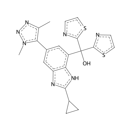 Cc1nnn(C)c1-c1cc(C(O)(c2nccs2)c2nccs2)c2[nH]c(C3CC3)nc2c1